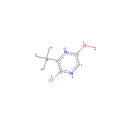 COc1cnc(Cl)c(C(C)(C)C)n1